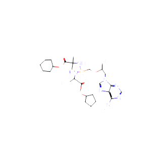 CC(Cn1cnc2c(N)ncnc21)OCP(=O)(NC(C)C(=O)OC1CCCC1)NC(C)(C)C(=O)OC1CCCCC1